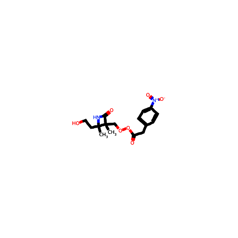 CC1(CCO)NC(=O)C1(C)COOC(=O)Cc1ccc([N+](=O)[O-])cc1